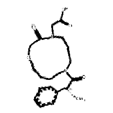 C[C@@H](C(=O)N1CCCOCC(=O)N(CC(=O)O)CCC1)c1ccccc1